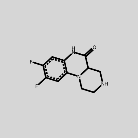 O=C1Nc2cc(F)c(F)cc2N2CCNCC12